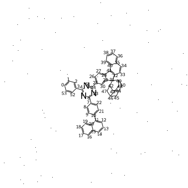 c1ccc(-c2nc(-c3ccc(-c4cccc5ccccc45)cc3)nc(-c3ccc4c(c3)C3(c5ccc6ccccc6c5-4)C4CC5CC(C4)CC3C5)n2)cc1